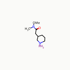 CON(C)C(=O)CC1CCCN(P)C1